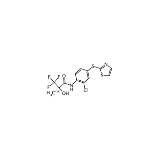 C[C@@](O)(C(=O)Nc1ccc(Sc2nccs2)cc1Cl)C(F)(F)F